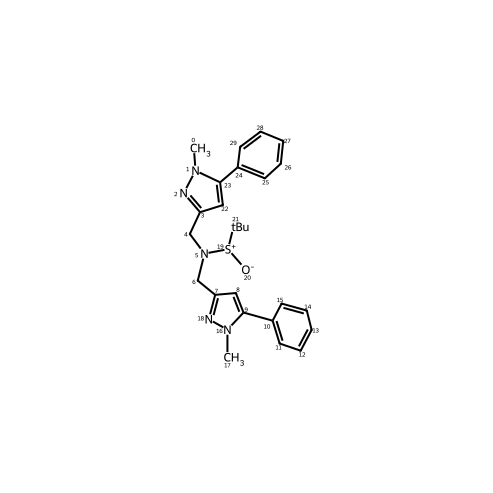 Cn1nc(CN(Cc2cc(-c3ccccc3)n(C)n2)[S+]([O-])C(C)(C)C)cc1-c1ccccc1